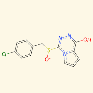 [O-][S+](Cc1ccc(Cl)cc1)c1nnc(O)c2cccn12